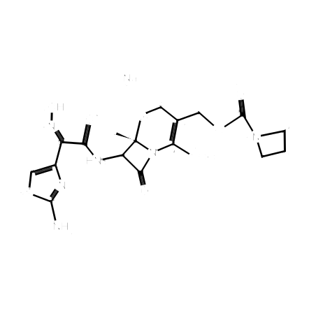 Nc1nc(/C(=N/O)C(=O)NC2C(=O)N3C(C(=O)[O-])=C(COC(=O)N4CCC4)CS[C@@H]23)cs1.[Na+]